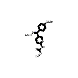 CO/N=C(/c1ccc(OC)cc1)c1ccc(NC(=O)OC(C)(C)C)nc1